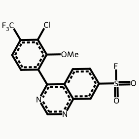 COc1c(-c2ncnc3cc(S(=O)(=O)F)ccc23)ccc(C(F)(F)F)c1Cl